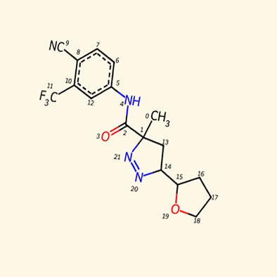 CC1(C(=O)Nc2ccc(C#N)c(C(F)(F)F)c2)CC(C2CCCO2)N=N1